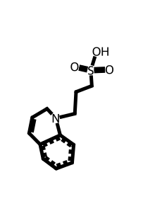 O=S(=O)(O)CCCN1CC=Cc2ccccc21